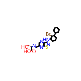 O=C(O)[C@H](CO)N=Cc1cnc2c(Nc3cccc(-c4ccccc4)c3Br)nsc2n1